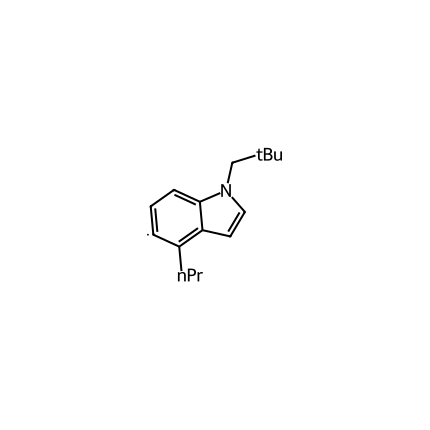 CCCc1[c]ccc2c1ccn2CC(C)(C)C